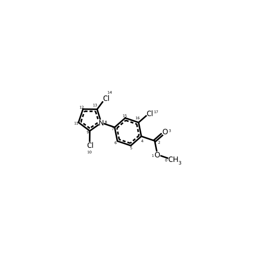 COC(=O)c1ccc(-n2c(Cl)ccc2Cl)cc1Cl